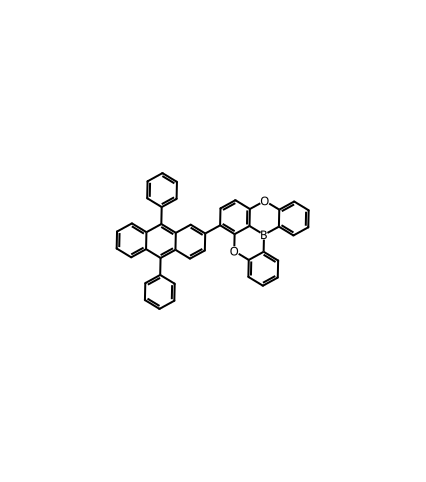 c1ccc(-c2c3ccccc3c(-c3ccccc3)c3cc(-c4ccc5c6c4Oc4ccccc4B6c4ccccc4O5)ccc23)cc1